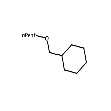 CCCCCOCC1CCCCC1